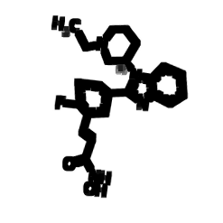 CCN1CCC[C@@H](n2c(-c3ccc(F)c(C=CC(=O)NO)c3)nc3ccccc32)C1